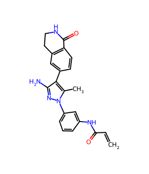 C=CC(=O)Nc1cccc(-n2nc(N)c(-c3ccc4c(c3)CCNC4=O)c2C)c1